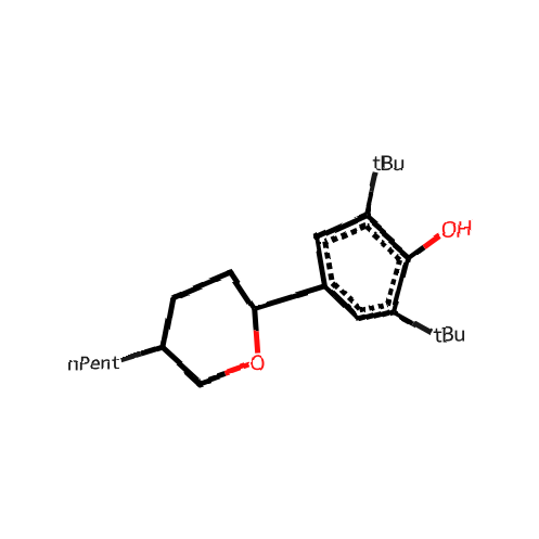 CCCCCC1CCC(c2cc(C(C)(C)C)c(O)c(C(C)(C)C)c2)OC1